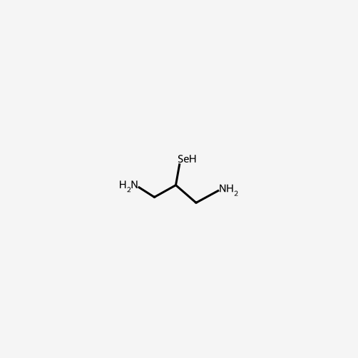 NCC([SeH])CN